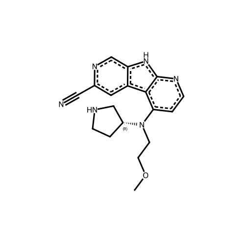 COCCN(c1ccnc2[nH]c3cnc(C#N)cc3c12)[C@@H]1CCNC1